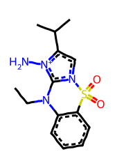 CCN1c2ccccc2S(=O)(=O)n2cc(C(C)C)[n+](N)c21